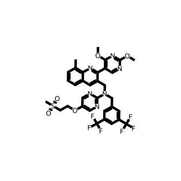 COc1ncc(-c2nc3c(C)cccc3cc2CN(Cc2cc(C(F)(F)F)cc(C(F)(F)F)c2)c2ncc(OCCS(C)(=O)=O)cn2)c(OC)n1